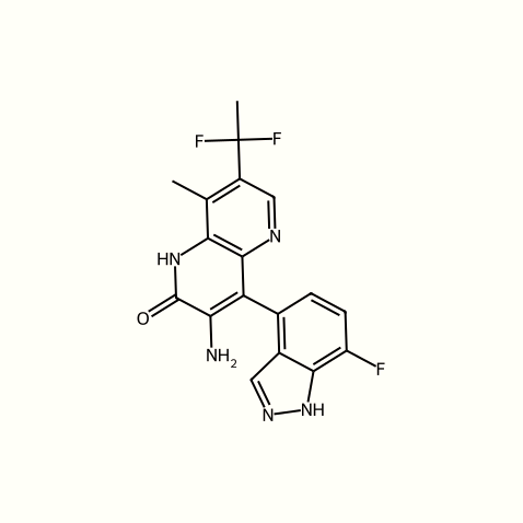 Cc1c(C(C)(F)F)cnc2c(-c3ccc(F)c4[nH]ncc34)c(N)c(=O)[nH]c12